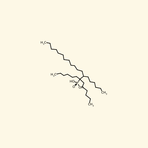 CCCCCCCCCCCCC(CCCCCC)C(CCCCCC)(CCCCCC)P(=O)(O)O